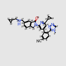 Cn1cnnc1-c1ccc(C#N)cc1-c1cc(C2CC2)nc(N2Cc3ccc(CNCC4CC4)cc3C2=O)c1